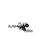 COc1ccc2c(C(=O)NCCNC(C)=O)nc(C#N)c(-c3ccccc3)c2c1